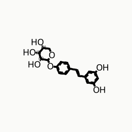 Oc1cc(O)cc(C=Cc2ccc(OC3OC[C@@H](O)[C@H](O)[C@H]3O)cc2)c1